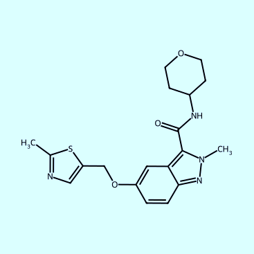 Cc1ncc(COc2ccc3nn(C)c(C(=O)NC4CCOCC4)c3c2)s1